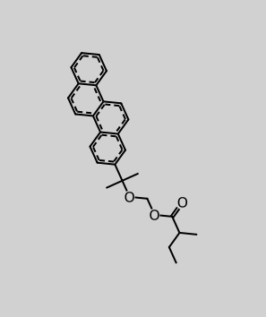 CCC(C)C(=O)OCOC(C)(C)c1ccc2c(ccc3c4ccccc4ccc23)c1